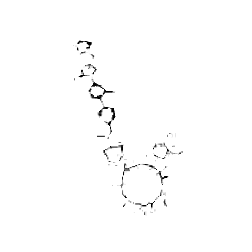 CC[C@H]1OC(=O)[C@H](C)[C@@H](C2C[C@@](C)(OC)[C@@H](O)[C@H](C)O2)[C@H](C)[C@@H](O[C@@H]2O[C@H](C)C[C@H](N(C)Cc3ccc(-c4ccc(N5C[C@H](Cn6ccnn6)OC5=O)cc4F)cc3)[C@H]2O)[C@](C)(O)C[C@@H](C)CN(C)[C@H](C)[C@@H](O)[C@]1(C)O